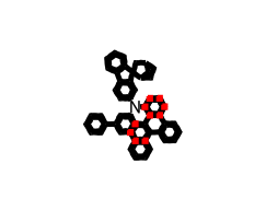 c1ccc(-c2cc(-c3ccccc3)cc(N(c3ccc4c(c3)C3(CC5CCC3C5)c3ccccc3-4)c3ccccc3-c3ccccc3-c3ccccc3-c3ccccc3)c2)cc1